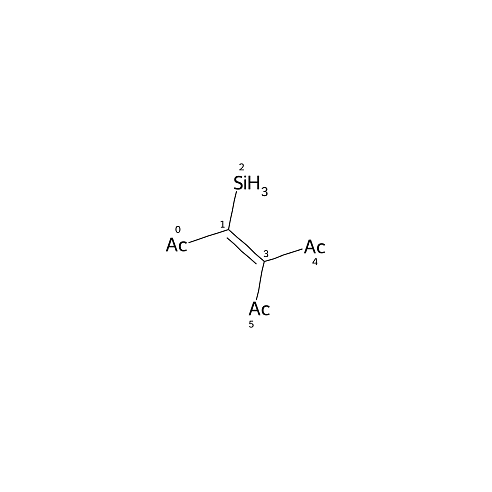 CC(=O)C([SiH3])=C(C(C)=O)C(C)=O